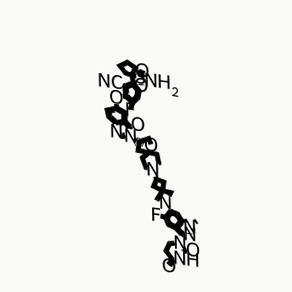 Cn1nc(N2CCC(=O)NC2=O)c2cc(F)c(N3CC4(CC(N5CCC6(CC5)C[C@@H](n5cnc7ccc(Oc8c(F)ccc(C9(S(N)(=O)=O)CCCC9)c8C#N)cc7c5=O)CO6)C4)C3)cc21